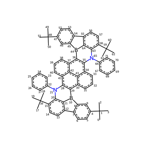 CC(C)(C)c1ccc2c(c1)B1c3c-2ccc(C(C)(C)C)c3N(c2ccccc2)c2c1c1cccc3c4c(c5cccc2c5c13)B1c2cc(C(C)(C)C)ccc2-c2ccc(C(C)(C)C)c(c21)N4c1ccccc1